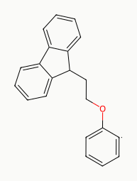 [c]1ccccc1OCCC1c2ccccc2-c2ccccc21